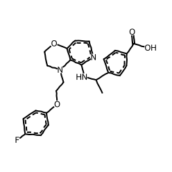 CC(Nc1nccc2c1N(CCOc1ccc(F)cc1)CCO2)c1ccc(C(=O)O)cc1